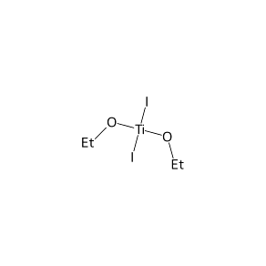 CC[O][Ti]([I])([I])[O]CC